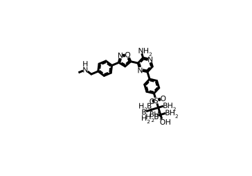 BC(B)(B)C(B)(C(B)(B)O)S(=O)(=O)c1ccc(-c2cnc(N)c(-c3cc(-c4ccc(CNC)cc4)no3)n2)cc1